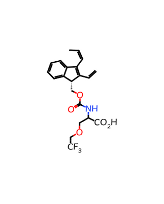 C=CC1=C(/C=C\C)c2ccccc2[C@H]1COC(=O)NC(COCC(F)(F)F)C(=O)O